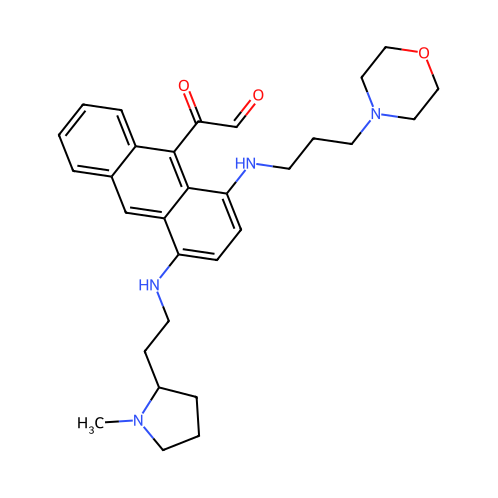 CN1CCCC1CCNc1ccc(NCCCN2CCOCC2)c2c(C(=O)C=O)c3ccccc3cc12